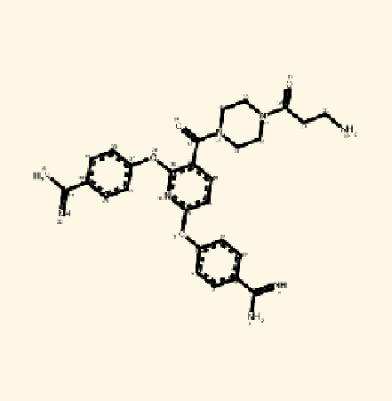 N=C(N)c1ccc(Oc2ccc(C(=O)N3CCN(C(=O)CCN)CC3)c(Oc3ccc(C(=N)N)cc3)n2)cc1